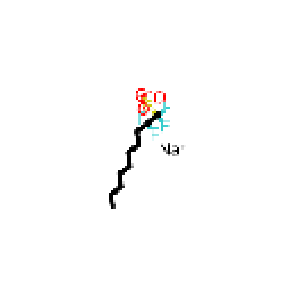 CCCCCCCCC(F)(F)C(F)(F)S(=O)(=O)[O-].[Na+]